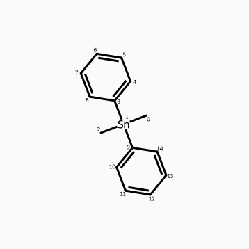 [CH3][Sn]([CH3])([c]1ccccc1)[c]1ccccc1